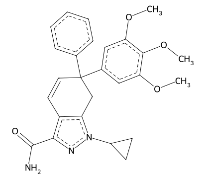 COc1cc(C2(c3ccccc3)C=Cc3c(C(N)=O)nn(C4CC4)c3C2)cc(OC)c1OC